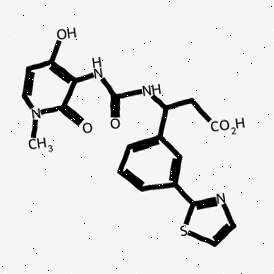 Cn1ccc(O)c(NC(=O)NC(CC(=O)O)c2cccc(-c3nccs3)c2)c1=O